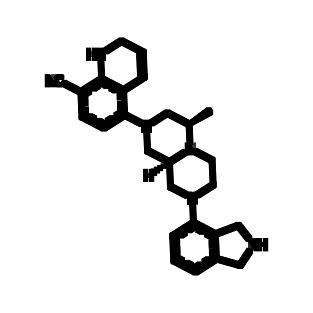 C[C@@H]1CN(c2ccc(C#N)c3c2C=CCN3)C[C@@H]2CN(c3cccc4c3CNC4)CCN21